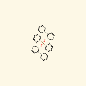 O=S(=O)(c1ccccc1-c1cccc(-c2ccccc2)c1)c1ccccc1-c1cccc(-c2ccccc2)c1